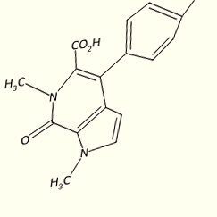 Cn1c(C(=O)O)c(-c2ccc(F)cc2)c2ccn(C)c2c1=O